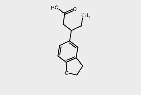 CCC(CC(=O)O)c1ccc2c(c1)CCO2